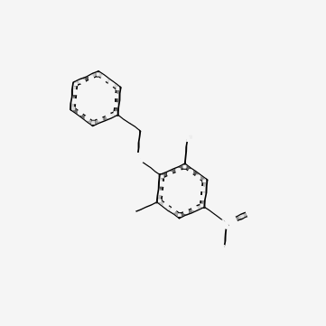 O=[N+]([O-])c1cc(F)c(OCc2ccccc2)c(Br)c1